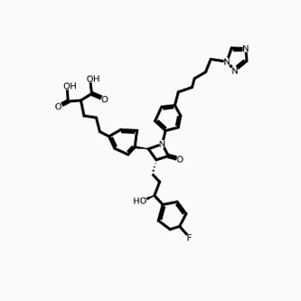 O=C(O)C(CCCc1ccc([C@@H]2[C@@H](CC[C@H](O)C3=CCC(F)C=C3)C(=O)N2c2ccc(CCCCCn3cncn3)cc2)cc1)C(=O)O